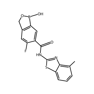 Cc1cccc2sc(NC(=O)c3cc4c(cc3F)COB4O)nc12